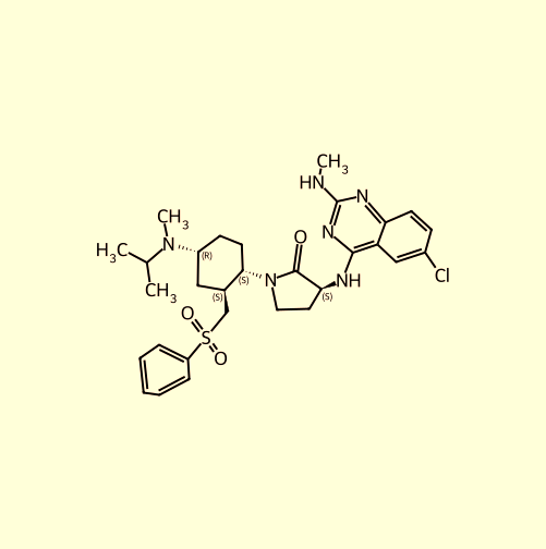 CNc1nc(N[C@H]2CCN([C@H]3CC[C@@H](N(C)C(C)C)C[C@@H]3CS(=O)(=O)c3ccccc3)C2=O)c2cc(Cl)ccc2n1